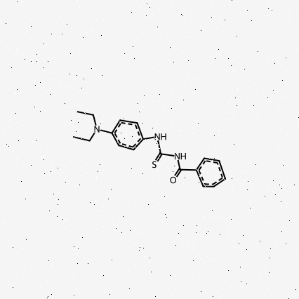 CCN(CC)c1ccc(NC(=S)NC(=O)c2ccccc2)cc1